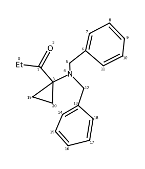 CCC(=O)C1(N(Cc2ccccc2)Cc2ccccc2)CC1